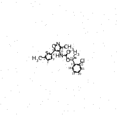 Cc1ccc(-c2onc(C)c2NC(=O)OC(C)c2ccccc2Cl)s1